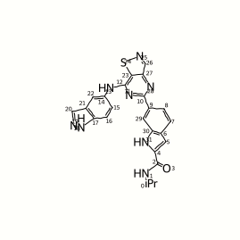 CC(C)NC(=O)c1cc2ccc(-c3nc(Nc4ccc5[nH]ncc5c4)c4sncc4n3)cc2[nH]1